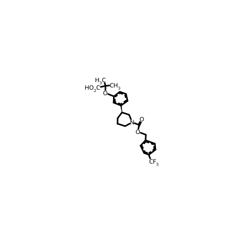 CC(C)(Oc1cccc([C@@H]2CCCN(C(=O)OCc3ccc(C(F)(F)F)cc3)C2)c1)C(=O)O